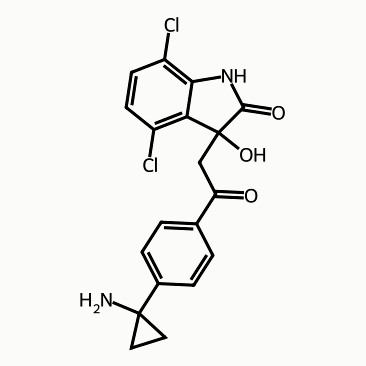 NC1(c2ccc(C(=O)CC3(O)C(=O)Nc4c(Cl)ccc(Cl)c43)cc2)CC1